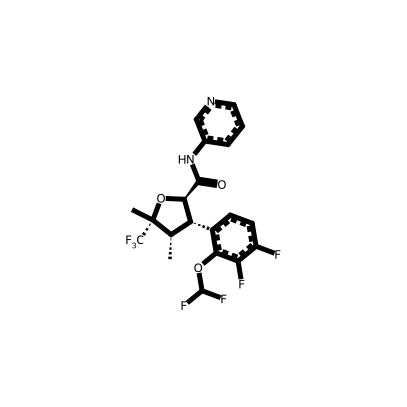 C[C@H]1[C@@H](c2ccc(F)c(F)c2OC(F)F)[C@H](C(=O)Nc2cccnc2)O[C@@]1(C)C(F)(F)F